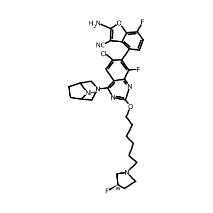 N#Cc1c(N)oc2c(F)ccc(-c3c(Cl)cc4c(N5CC6CCC(C5)N6)nc(OCCCCCCN5CC[C@@H](F)C5)nc4c3F)c12